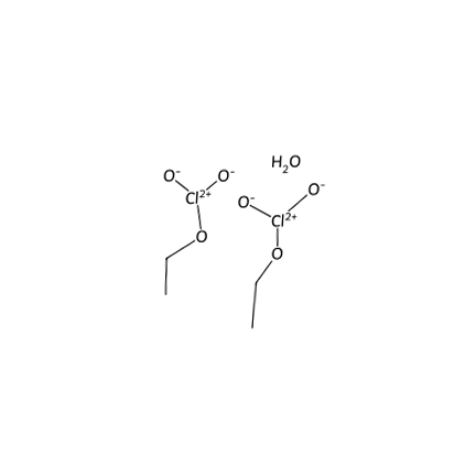 CCO[Cl+2]([O-])[O-].CCO[Cl+2]([O-])[O-].O